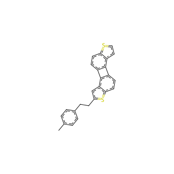 Cc1ccc(CCc2cc3c4c(ccc3s2)-c2c-4ccc3sccc23)cc1